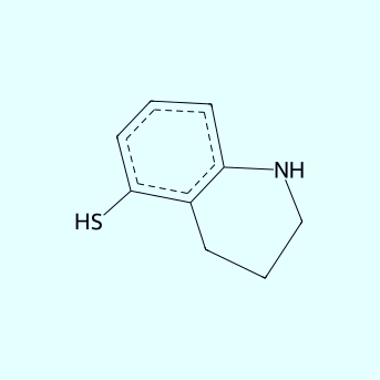 Sc1cccc2c1CCCN2